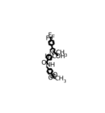 CCS(=O)(=O)c1ccc(CNC(=O)c2ccc(N3CC(c4ccc(C(F)(F)F)cc4)CC3C(C)(C)O)cc2)cc1